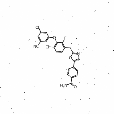 N#Cc1cc(Cl)cc(Oc2c(Cl)ccc(Cc3nnc(-c4ccc(C(N)=O)cc4)o3)c2F)c1